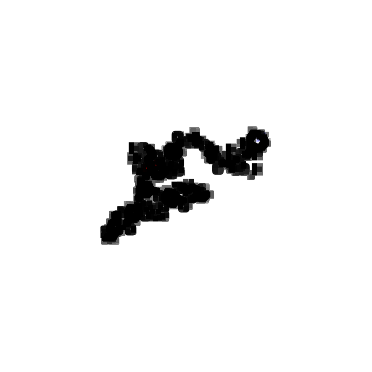 C=C(NC(=O)[C@@H](CS(=O)(=O)O)NC(=O)OCC1[C@H]2CC/C=C\CC[C@@H]12)C(C)(C)COCC(C)(C)CNC(=O)c1ccc(O[C@@H]2OC(CO)[C@H](O)[C@H](O)[C@H]2O)c(OS(=O)(=O)Oc2ccc(C[N+](C)(C)Cc3cc(COc4cc5c(cc4OC)C(=O)N4Cc6ccsc6CC4C=N5)cc(COc4cc5c(cc4OC)C(=O)N4Cc6ccsc6C[C@H]4C=N5)c3)cc2)c1